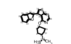 BN(C)[C@H]1CC[C@H](Oc2ncnc3scc(-c4cc5ccccc5o4)c23)CC1